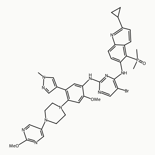 COc1ncc(N2CCN(c3cc(OC)c(Nc4ncc(Br)c(Nc5ccc6nc(C7CC7)ccc6c5P(C)(C)=O)n4)cc3-c3cnn(C)c3)CC2)cn1